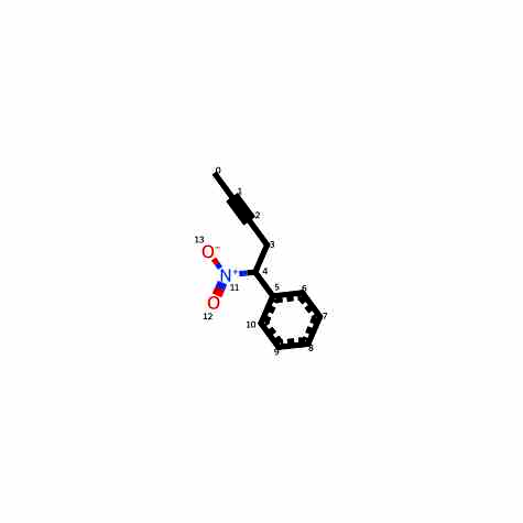 CC#CCC(c1ccccc1)[N+](=O)[O-]